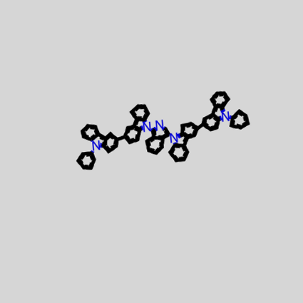 c1ccc(-n2c3ccccc3c3cc(-c4ccc5c(c4)c4ccccc4n5-c4cnc(-n5c6ccccc6c6cc(-c7ccc8c(c7)c7ccccc7n8-c7ccccc7)ccc65)c5ccccc45)ccc32)cc1